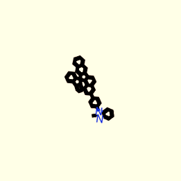 Cc1nc2ccccc2n1-c1ccc(-c2ccc3c4c(ccc3c2)-c2cc3ccccc3cc2C42c3ccccc3-c3ccccc32)cc1